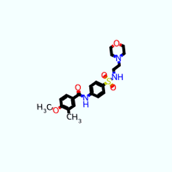 COc1ccc(C(=O)Nc2ccc(S(=O)(=O)NCCN3CCOCC3)cc2)cc1C